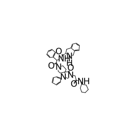 O=C(CN1CN(c2ccccc2)C2(CCN(C(=O)[C@H](NC(=O)[C@H]3Cc4ccccc4CN3)c3ccccc3)CC2)C1=O)NC1CCCCC1